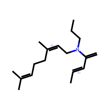 C=C(/C=C/C)N(C/C=C(/C)CCC=C(C)C)CCC